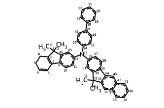 CC1(C)C2=C(C=CCC2)c2ccc(N(c3ccc(-c4ccccc4)cc3)c3ccc4c(c3)C(C)(C)c3cc5ccccc5cc3-4)cc21